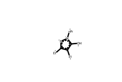 CCCn1nc(CC)c(CC)c1O